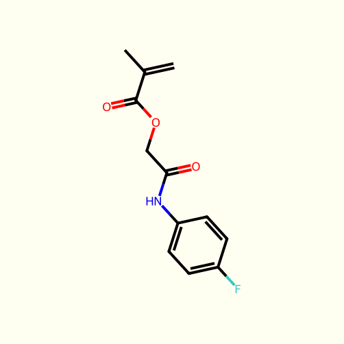 C=C(C)C(=O)OCC(=O)Nc1ccc(F)cc1